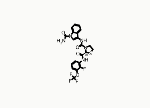 NC(=O)n1cc(NC(=O)N2CCS[C@H]2C(=O)Nc2cccc(OC(F)(F)F)c2F)c2ccccc21